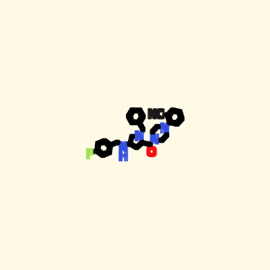 N#Cc1ccccc1N1CCN(C(=O)C2CC(NCc3ccc(F)cc3)CN2Cc2ccccc2)CC1